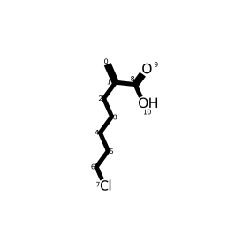 C=C(CCCCCCl)C(=O)O